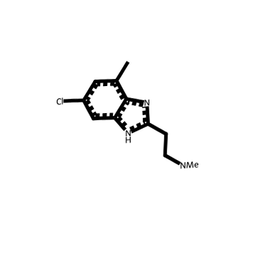 CNCCc1nc2c(C)cc(Cl)cc2[nH]1